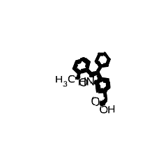 CC(=O)c1ccccc1-c1[nH]c2cc(CC(=O)O)ccc2c1C1CCCCC1